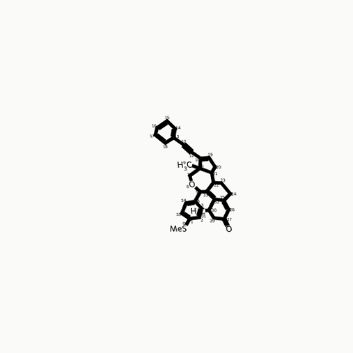 CSc1ccc(C2OCC3(C)C(C#Cc4ccccc4)=CCC3C3CCC4=CC(=O)CC(C)C4=C23)cc1